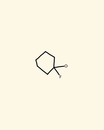 [O]C1(F)CCCCC1